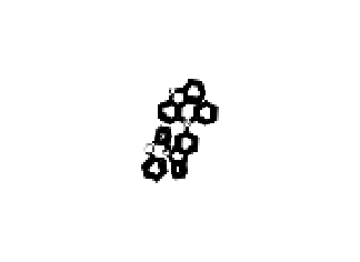 c1ccc(N(c2ccc3c(c2)[Si]2(c4ccccc4Oc4ccccc42)c2ccccc2-3)c2cccc3oc4ccccc4c23)cc1